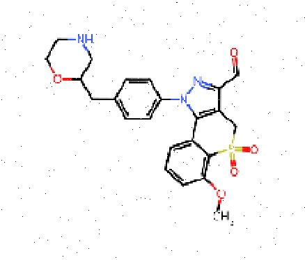 COc1cccc2c1S(=O)(=O)Cc1c(C=O)nn(-c3ccc(CC4CNCCO4)cc3)c1-2